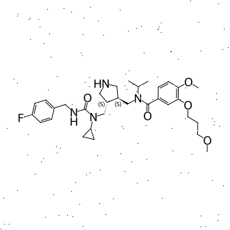 COCCCOc1cc(C(=O)N(C[C@@H]2CNC[C@H]2CN(C(=O)NCc2ccc(F)cc2)C2CC2)C(C)C)ccc1OC